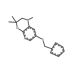 CN1CC(C)(C)Oc2ncc(SCc3ccccc3)cc21